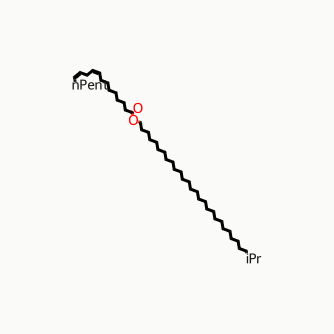 CCCCC/C=C\C/C=C\CCCCCCCC(=O)OCCCCCCCCCCCCCCCCCCCCCCCCCCCC(C)C